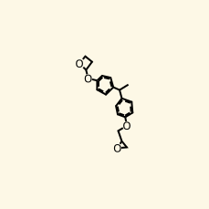 CC(c1ccc(OCC2CO2)cc1)c1ccc(OC2CCO2)cc1